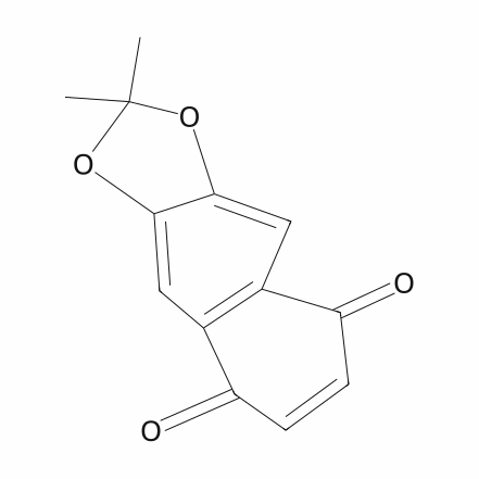 CC1(C)Oc2cc3c(cc2O1)C(=O)C=CC3=O